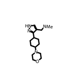 CNCc1c[nH]nc1C1CCC(N2CCOCC2)CC1